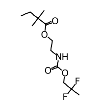 CCC(C)(C)C(=O)OCCNC(=O)OCC(C)(F)F